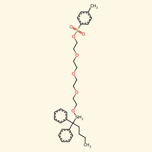 CCCCC([SiH2]OCCOCCOCCOCCOS(=O)(=O)c1ccc(C)cc1)(c1ccccc1)c1ccccc1